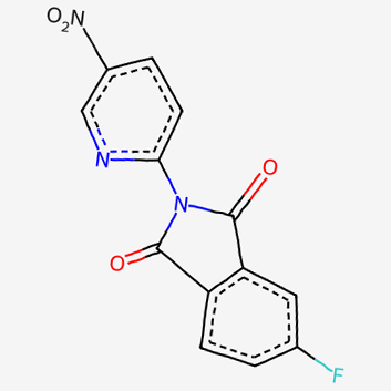 O=C1c2ccc(F)cc2C(=O)N1c1ccc([N+](=O)[O-])cn1